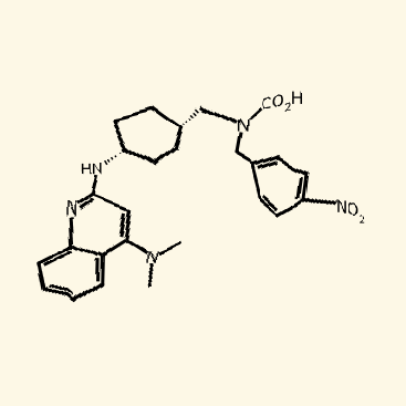 CN(C)c1cc(N[C@H]2CC[C@@H](CN(Cc3ccc([N+](=O)[O-])cc3)C(=O)O)CC2)nc2ccccc12